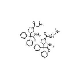 CN(C)CC(=O)N1CCC(C(C(N)=O)(c2ccccc2)c2ccccc2)C1.CN(C)CCNC(=O)N1CCC(C(C(N)=O)(c2ccccc2)c2ccccc2)C1